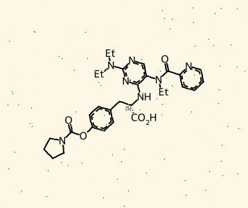 CCN(CC)c1ncc(N(CC)C(=O)c2ccccn2)c(N[C@@H](Cc2ccc(OC(=O)N3CCCC3)cc2)C(=O)O)n1